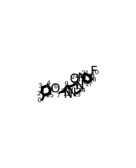 Cc1cccc(OCc2cc3n(n2)CCN(c2ccc(F)cn2)C3=O)c1